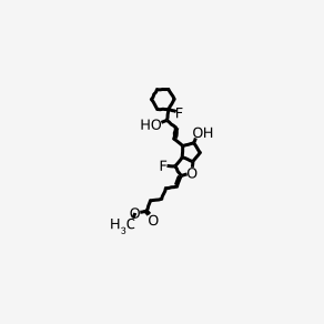 COC(=O)CCC/C=C1/OC2CC(O)C(/C=C/C(O)C3(F)CCCCC3)C2C1F